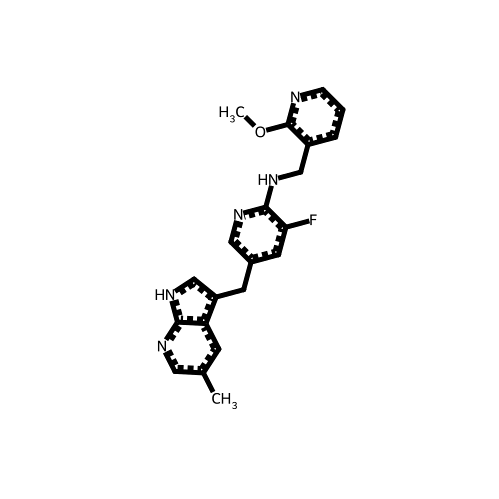 COc1ncccc1CNc1ncc(Cc2c[nH]c3ncc(C)cc23)cc1F